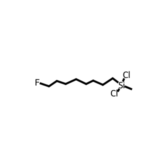 C[Si](Cl)(Cl)CCCCCCCCF